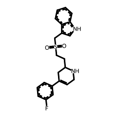 O=S(=O)(CCC1CC(c2cccc(F)c2)=CCN1)Cc1c[nH]c2ccccc12